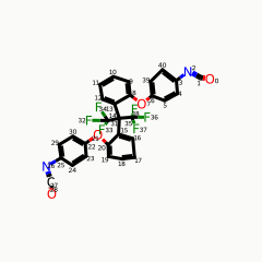 O=C=Nc1ccc(Oc2ccccc2C(c2ccccc2Oc2ccc(N=C=O)cc2)(C(F)(F)F)C(F)(F)F)cc1